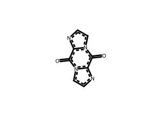 O=c1c2nccn2c(=O)c2nccn12